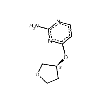 Nc1nccc(O[C@H]2CCOC2)n1